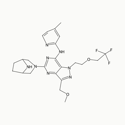 COCc1nn(CCOCC(F)(F)F)c2c(Nc3cc(C)ccn3)nc(N3CC4CCC(C3)N4)nc12